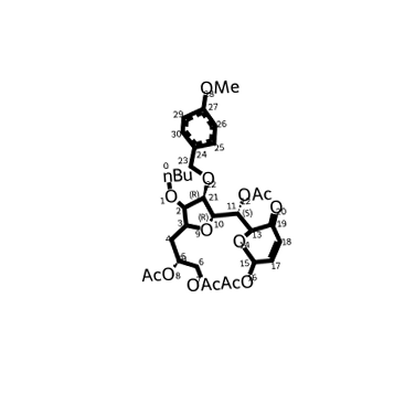 CCCCOC1C(C[C@H](COC(C)=O)OC(C)=O)O[C@@H]([C@H](OC(C)=O)C2OC(OC(C)=O)C=CC2=O)[C@@H]1OCc1ccc(OC)cc1